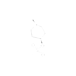 CS(=O)(=O)O[C@H]1CC[C@@H](C)CC1